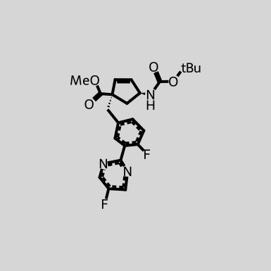 COC(=O)[C@@]1(Cc2ccc(F)c(-c3ncc(F)cn3)c2)C=C[C@H](NC(=O)OC(C)(C)C)C1